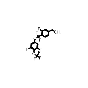 CCc1ccc(C(F)(F)Oc2cc(F)c(OC(F)(F)F)c(F)c2)c(F)c1